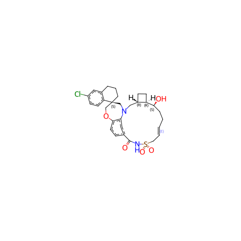 O=C1NS(=O)(=O)C/C=C/CC[C@H](O)[C@@H]2CC[C@H]2CN2C[C@@]3(CCCc4cc(Cl)ccc43)COc3ccc1cc32